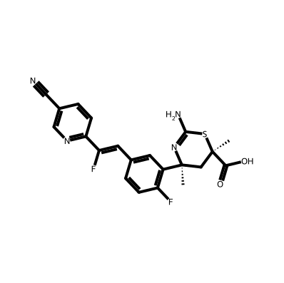 C[C@]1(C(=O)O)C[C@@](C)(c2cc(/C=C(\F)c3ccc(C#N)cn3)ccc2F)N=C(N)S1